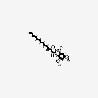 CCCCCCCCCCCC(=O)CC(=O)Nc1c(OC)cc(OC)cc1OC